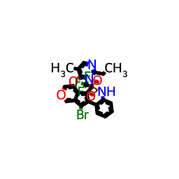 CCc1ncc(C)c(=O)n1Cc1c2ccocc-2c(Br)c1-c1ccccc1NS(=O)(=O)C(F)(F)F